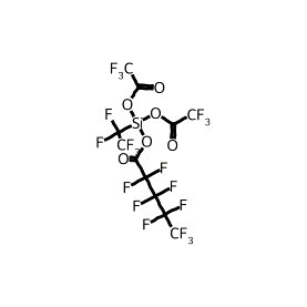 O=C(O[Si](OC(=O)C(F)(F)F)(OC(=O)C(F)(F)C(F)(F)C(F)(F)C(F)(F)F)C(F)(F)C(F)(F)F)C(F)(F)F